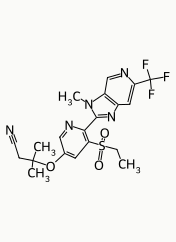 CCS(=O)(=O)c1cc(OC(C)(C)CC#N)cnc1-c1nc2cc(C(F)(F)F)ncc2n1C